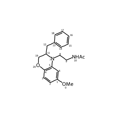 COc1ccc2c(c1)N(CCNC(C)=O)C(Cc1ccccc1)CO2